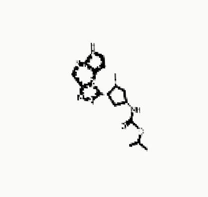 CC(C)OC(=O)N[C@H]1C[C@@H](I)[C@@H](c2nnc3cnc4[nH]ccc4n23)C1